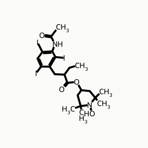 CCC(Cc1c(I)cc(I)c(NC(C)=O)c1I)C(=O)OC1CC(C)(C)N(O)C(C)(C)C1